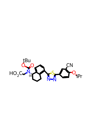 CC(C)Oc1ccc(-c2nnc(-c3cccc4c3CCC[C@@H]4N(CC(=O)O)C(=O)OC(C)(C)C)s2)cc1C#N